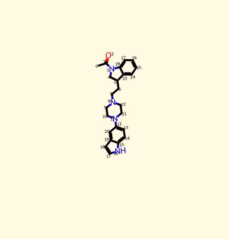 CC(=O)N1CC(CCN2CCN(c3ccc4[nH]ccc4c3)CC2)c2ccccc21